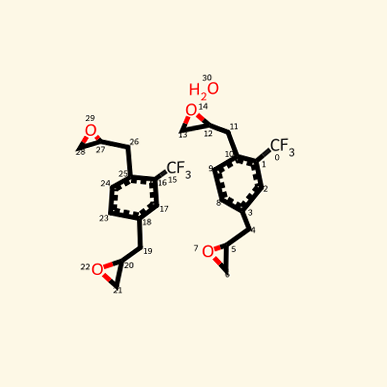 FC(F)(F)c1cc(CC2CO2)ccc1CC1CO1.FC(F)(F)c1cc(CC2CO2)ccc1CC1CO1.O